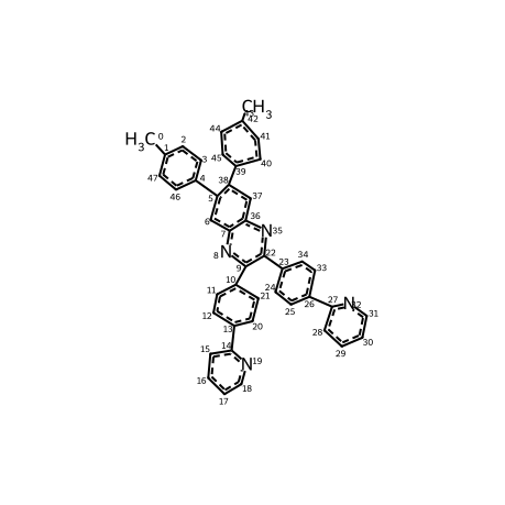 Cc1ccc(-c2cc3nc(-c4ccc(-c5ccccn5)cc4)c(-c4ccc(-c5ccccn5)cc4)nc3cc2-c2ccc(C)cc2)cc1